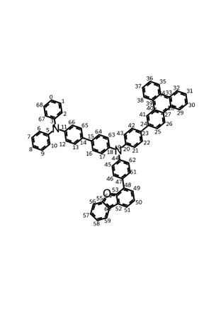 c1ccc(N(c2ccccc2)c2ccc(-c3ccc(N(c4ccc(-c5ccc6c7ccccc7c7ccccc7c6c5)cc4)c4ccc(-c5cccc6c5oc5ccccc56)cc4)cc3)cc2)cc1